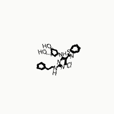 OC[C@H]1C[C@@H](Nc2nc(NCCc3ccccc3)nc(Cl)c2-c2nc3ccccc3s2)C[C@@H]1O